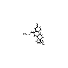 C[C@]12CCC(=O)CC1/C(=C/C(=O)O)CC1C2CC[C@]2(C)C(=O)CCC12